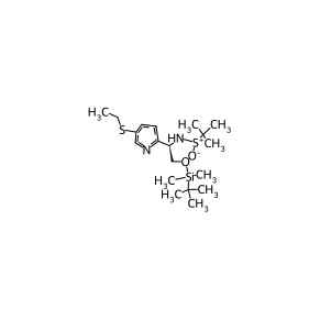 CCSc1ccc([C@H](CO[Si](C)(C)C(C)(C)C)N[S+]([O-])C(C)(C)C)nc1